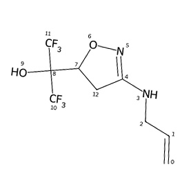 C=CCNC1=NOC(C(O)(C(F)(F)F)C(F)(F)F)C1